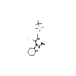 CC(C)(C)[Si](C)(C)OCc1oc(=O)c2sc3c(c2c1Br)CCCC3